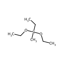 CCO[Si](C)(CC)OCC